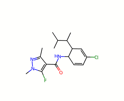 Cc1nn(C)c(F)c1C(=O)NC1C=CC(Cl)=CC1C(C)C(C)C